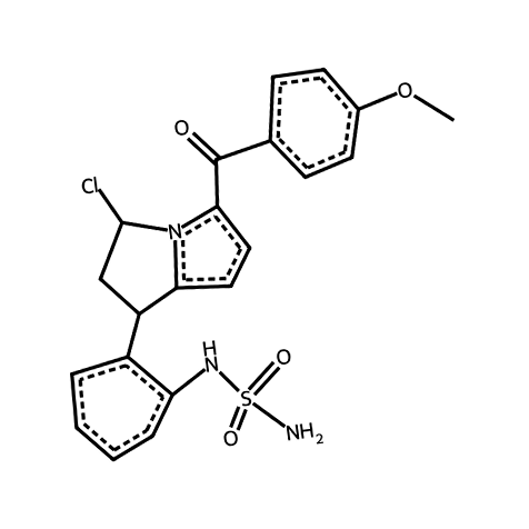 COc1ccc(C(=O)c2ccc3n2C(Cl)CC3c2ccccc2NS(N)(=O)=O)cc1